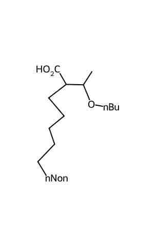 CCCCCCCCCCCCCCC(C(=O)O)C(C)OCCCC